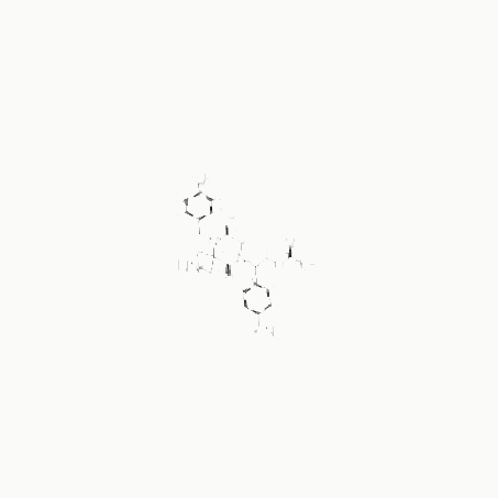 N#Cc1ccc(C(COC(=O)C(F)(F)F)N2CC(=O)N(Cc3ccc(C(F)(F)F)cc3)C3(CNC3)C2=O)cc1